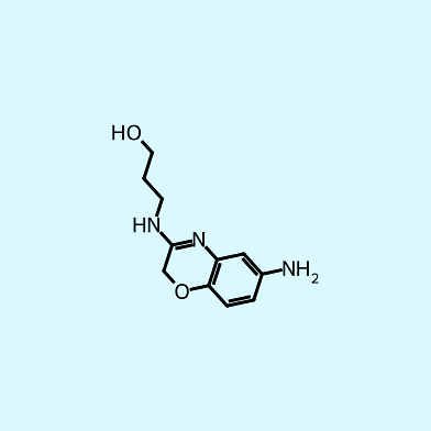 Nc1ccc2c(c1)N=C(NCCCO)CO2